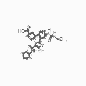 CCNC(=O)Nc1cc(-c2nc(C)c(C(=O)NC3CCCCC3)s2)c(-c2cncc(C(=O)O)c2)cn1